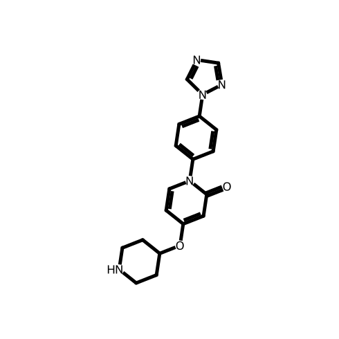 O=c1cc(OC2CCNCC2)ccn1-c1ccc(-n2cncn2)cc1